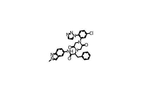 Cn1cc2cc(NC(=O)C(Cc3ccccc3)N3CC(=O)N(c4cc(Cl)ccc4-n4ccnn4)CC3=O)ccc2n1